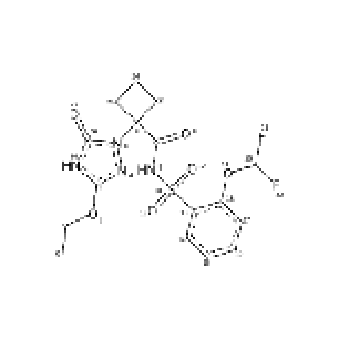 CCOc1nn(C2(C(=O)NS(=O)(=O)c3ccccc3OC(F)F)CCC2)c(=O)[nH]1